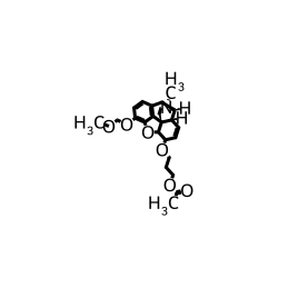 COCOc1ccc2c3c1OC1C(OCCCOC(C)=O)C=C[C@H]4[C@@H](C2)N(C)CC[C@]314